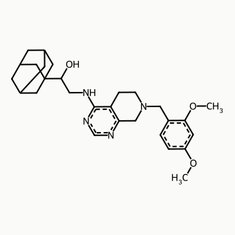 COc1ccc(CN2CCc3c(ncnc3NCC(O)C34CC5CC(CC(C5)C3)C4)C2)c(OC)c1